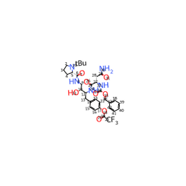 CC(C)(C)N1CCC[C@H]1C(=O)NC[C@@H](O)[C@H](Cc1ccc(OC(=O)C(F)(F)F)cc1)NC(=O)[C@H](CC(N)=O)NC(=O)OCc1ccccc1